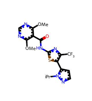 COc1ncnc(OC)c1C(=O)Nc1nc(C(F)(F)F)c(-c2ccnn2C(C)C)s1